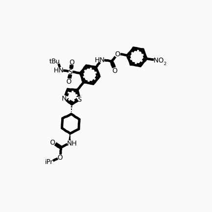 CC(C)OC(=O)N[C@H]1CC[C@H](c2ncc(-c3ccc(NC(=O)Oc4ccc([N+](=O)[O-])cc4)cc3S(=O)(=O)NC(C)(C)C)s2)CC1